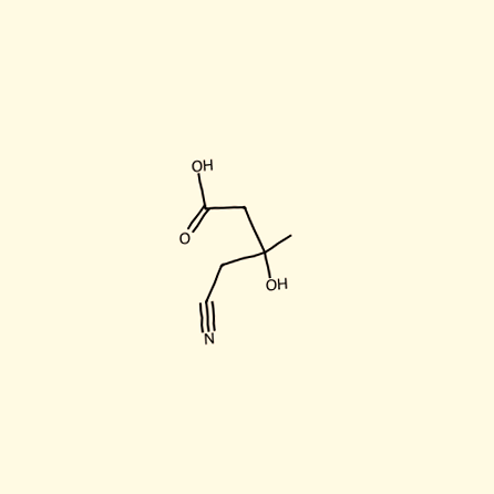 CC(O)(CC#N)CC(=O)O